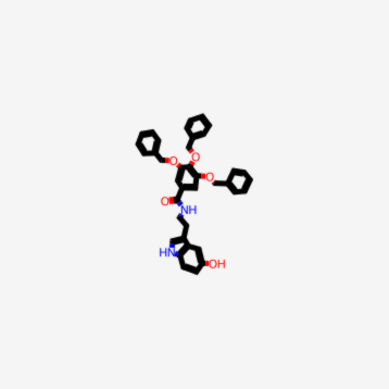 O=C(NCCc1c[nH]c2ccc(O)cc12)c1cc(OCc2ccccc2)c(OCc2ccccc2)c(OCc2ccccc2)c1